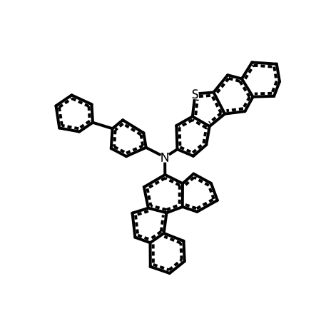 c1ccc(-c2ccc(N(c3ccc4c(c3)sc3cc5ccccc5cc34)c3cc4ccc5ccccc5c4c4ccccc34)cc2)cc1